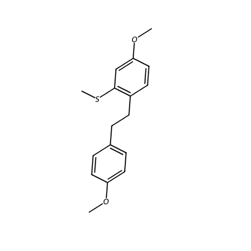 COc1ccc(CCc2ccc(OC)cc2SC)cc1